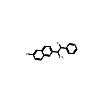 CC(c1ccc2cc(O)ccc2c1)C(S)c1ccccc1